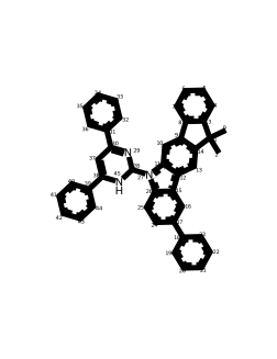 CC1(C)c2ccccc2-c2cc3c(cc21)c1cc(-c2ccccc2)ccc1n3C1N=C(c2ccccc2)C=C(c2ccccc2)N1